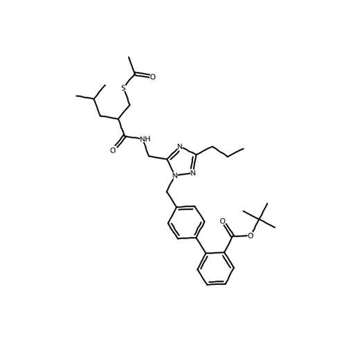 CCCc1nc(CNC(=O)C(CSC(C)=O)CC(C)C)n(Cc2ccc(-c3ccccc3C(=O)OC(C)(C)C)cc2)n1